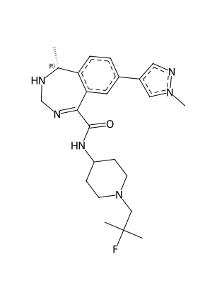 C[C@H]1NCN=C(C(=O)NC2CCN(CC(C)(C)F)CC2)c2cc(-c3cnn(C)c3)ccc21